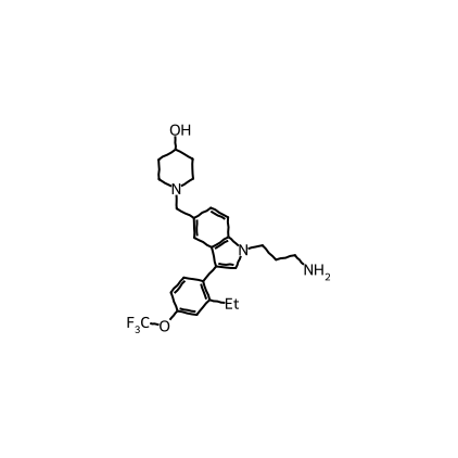 CCc1cc(OC(F)(F)F)ccc1-c1cn(CCCN)c2ccc(CN3CCC(O)CC3)cc12